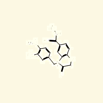 COc1ccc(CN2C(=O)COc3ccc(C(=O)NO)cc32)cc1C(F)(F)F